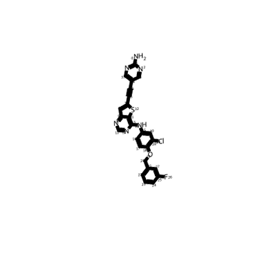 Nc1ncc(C#Cc2cc3ncnc(Nc4ccc(OCc5cccc(F)c5)c(Cl)c4)c3s2)cn1